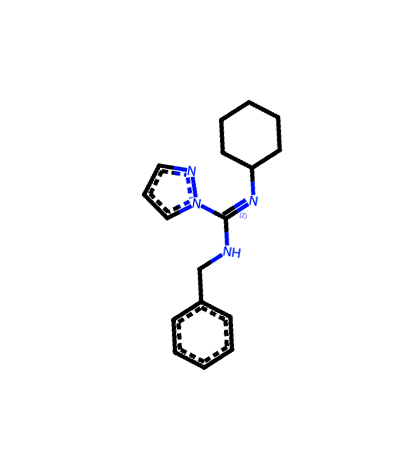 c1ccc(CN/C(=N/C2CCCCC2)n2cccn2)cc1